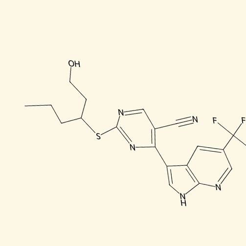 CCCC(CCO)Sc1ncc(C#N)c(-c2c[nH]c3ncc(C(F)(F)F)cc23)n1